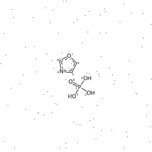 O=P(O)(O)O.c1cocn1